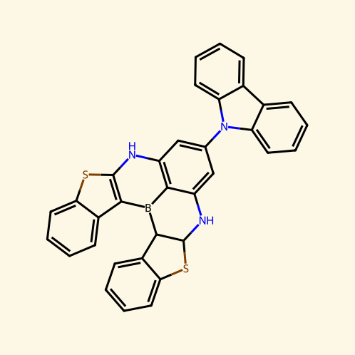 c1ccc2c(c1)SC1Nc3cc(-n4c5ccccc5c5ccccc54)cc4c3B(c3c(sc5ccccc35)N4)C21